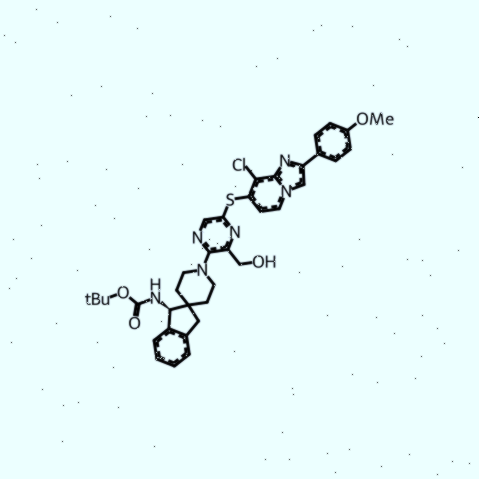 COc1ccc(-c2cn3ccc(Sc4cnc(N5CCC6(CC5)Cc5ccccc5[C@H]6NC(=O)OC(C)(C)C)c(CO)n4)c(Cl)c3n2)cc1